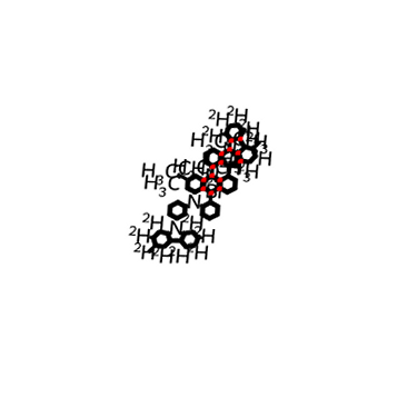 [2H]c1c([2H])c([2H])c2c(c1[2H])c1c([2H])c([2H])c([2H])c([2H])c1n2-c1cccc(N(c2ccccc2-c2ccc(C(C)(C)C)cc2)c2cc(C(C)(C)C)cc(N(c3cccc(-n4c5c([2H])c([2H])c([2H])c([2H])c5c5c([2H])c([2H])c([2H])c([2H])c54)c3)c3ccccc3-c3ccc(C(C)(C)C)cc3)c2Br)c1